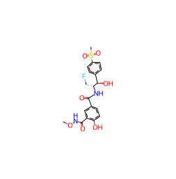 CONC(=O)c1cc(C(=O)N[C@H](CF)[C@H](O)c2ccc(S(C)(=O)=O)cc2)ccc1O